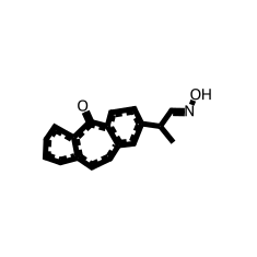 CC(C=NO)c1ccc2c(=O)c3ccccc3ccc2c1